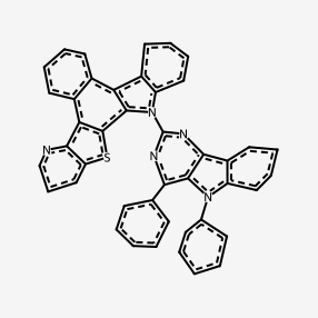 c1ccc(-c2nc(-n3c4ccccc4c4c5ccccc5c5c6ncccc6sc5c43)nc3c4ccccc4n(-c4ccccc4)c23)cc1